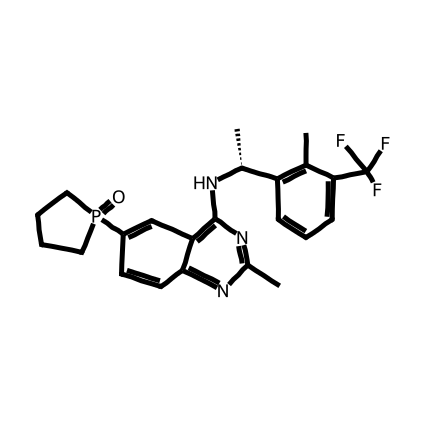 Cc1nc(N[C@H](C)c2cccc(C(F)(F)F)c2C)c2cc(P3(=O)CCCC3)ccc2n1